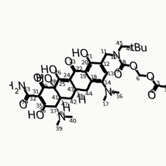 C=C(C)C(=O)OCOC(=O)N(Cc1cc(N(C)C)c2c(c1O)C(=O)C1=C(O)[C@]3(O)C(=O)C(C(N)=O)=C(O)[C@@H](N(C)C)[C@@H]3C[C@@H]1C2)CC(C)(C)C